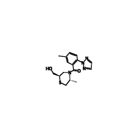 Cc1ccc(-n2nccn2)c(C(=O)N2C[C@H](CO)SC[C@H]2C)c1